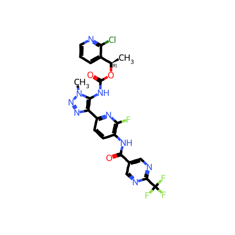 C[C@@H](OC(=O)Nc1c(-c2ccc(NC(=O)c3cnc(C(F)(F)F)nc3)c(F)n2)nnn1C)c1cccnc1Cl